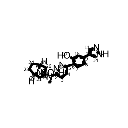 CN(c1ccc(-c2ccc(-c3cn[nH]c3)cc2O)nn1)[C@@H]1C[C@H]2CC[C@@H](C1)N2C(=O)O